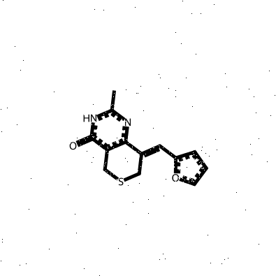 Cc1nc2c(c(=O)[nH]1)CSCC2=Cc1ccco1